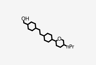 CCCC1CCC(C2CCC(CCC3CCC(CO)CC3)CC2)OC1